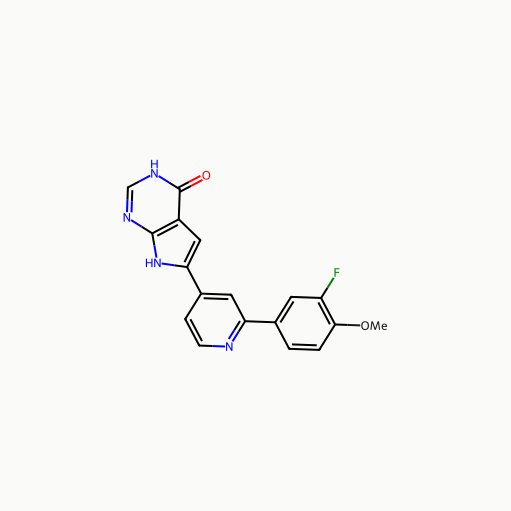 COc1ccc(-c2cc(-c3cc4c(=O)[nH]cnc4[nH]3)ccn2)cc1F